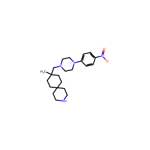 CC1(CN2CCN(c3ccc([N+](=O)[O-])cc3)CC2)CCC2(CCNCC2)CC1